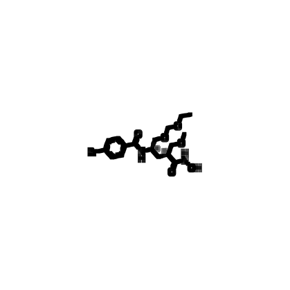 CCOCOC[C@@H](C[C@@H](COC)C(=O)NO)NC(=O)c1ccc(Br)cc1